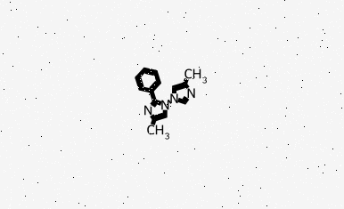 Cc1cn(-n2cc(C)nc2-c2ccccc2)cn1